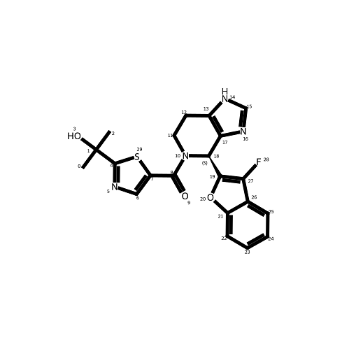 CC(C)(O)c1ncc(C(=O)N2CCc3[nH]cnc3[C@H]2c2oc3ccccc3c2F)s1